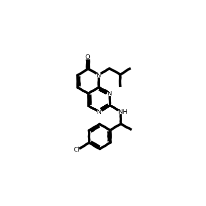 CC(C)Cn1c(=O)ccc2cnc(NC(C)c3ccc(Cl)cc3)nc21